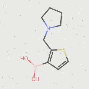 OB(O)c1ccsc1CN1CCCC1